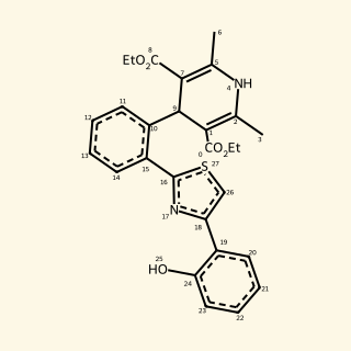 CCOC(=O)C1=C(C)NC(C)=C(C(=O)OCC)C1c1ccccc1-c1nc(-c2ccccc2O)cs1